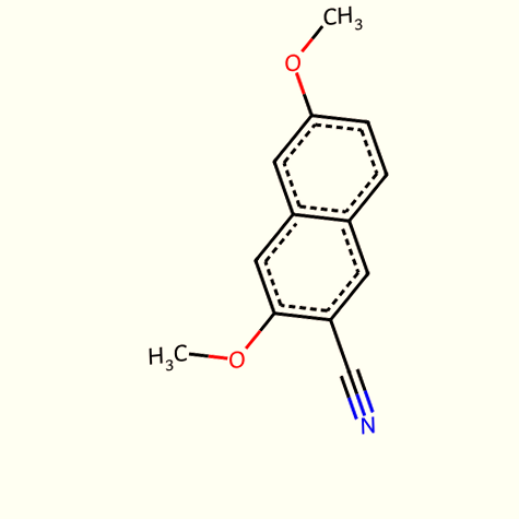 COc1ccc2cc(C#N)c(OC)cc2c1